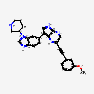 FC(F)(F)Oc1cccc(C#Cc2cnc3[nH]cc(-c4ccc5ncn(C6CCCNC6)c5c4)c3n2)c1